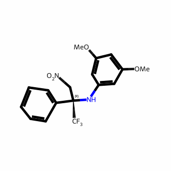 COc1cc(N[C@@](C[N+](=O)[O-])(c2ccccc2)C(F)(F)F)cc(OC)c1